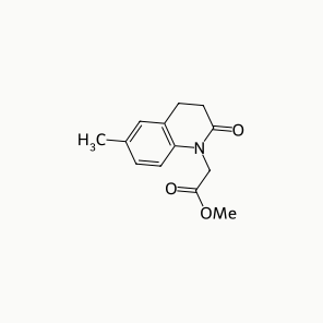 COC(=O)CN1C(=O)CCc2cc(C)ccc21